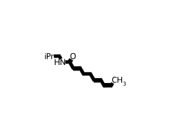 C/C=C\C=CCC/C=C/C(=O)NCC(C)C